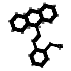 N#CCc1ccccc1/C=C/c1c2ccccc2cc2ccccc12